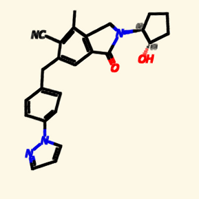 Cc1c(C#N)c(Cc2ccc(-n3cccn3)cc2)cc2c1CN([C@H]1CCC[C@@H]1O)C2=O